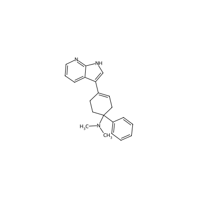 CN(C)C1(c2ccccc2)CC=C(c2c[nH]c3ncccc23)CC1